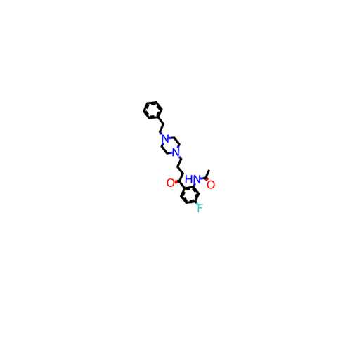 CC(=O)Nc1cc(F)ccc1C(=O)CCCN1CCN(CCc2ccccc2)CC1